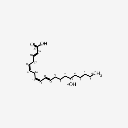 CCCCC[C@H](O)CCCC=C/C=C\C/C=C\CC=CC(=O)O